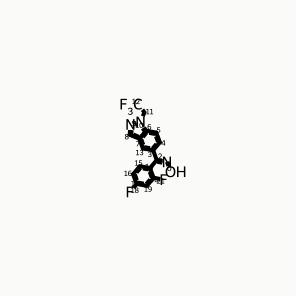 ON=C(c1ccc2c(cnn2CC(F)(F)F)c1)c1ccc(F)cc1F